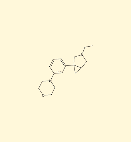 CCN1CC2CC2(c2cccc(N3CCOCC3)c2)C1